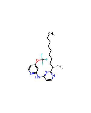 CCCCCCCCC(C)c1nccc(Nc2cc(OC(F)(F)F)ccn2)n1